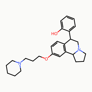 Oc1ccccc1C1CN2CCCC2c2cc(OCCCN3CCCCC3)ccc21